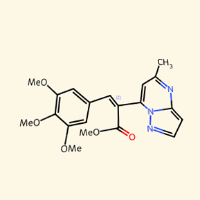 COC(=O)/C(=C\c1cc(OC)c(OC)c(OC)c1)c1cc(C)nc2ccnn12